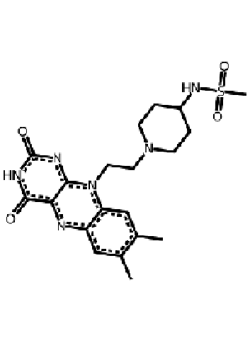 Cc1cc2nc3c(=O)[nH]c(=O)nc-3n(CCN3CCC(NS(C)(=O)=O)CC3)c2cc1C